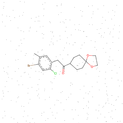 Cc1cc(CC(=O)C2CCC3(CC2)OCCO3)c(Cl)cc1Br